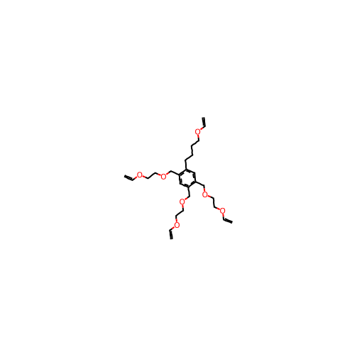 C=COCCCCc1cc(COCCOC=C)c(COCCOC=C)cc1COCCOC=C